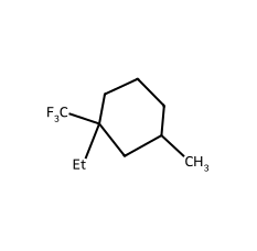 CCC1(C(F)(F)F)CCCC(C)C1